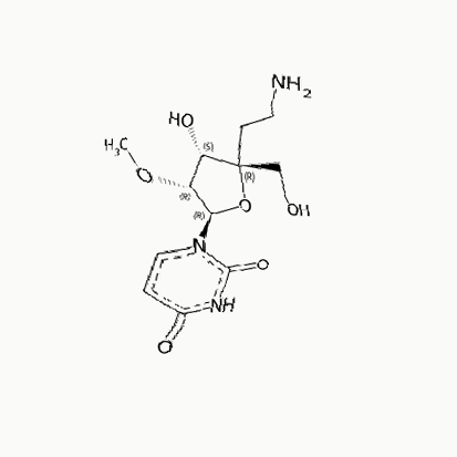 CO[C@H]1[C@H](n2ccc(=O)[nH]c2=O)O[C@@](CO)(CCN)[C@H]1O